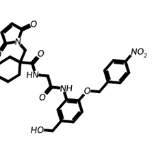 O=C(CNC(=O)C1(CN2C(=O)C=CC2=O)CCCCC1)Nc1cc(CO)ccc1OCc1ccc([N+](=O)[O-])cc1